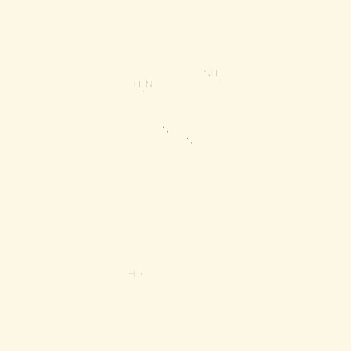 CCCCCCn1cc(N)c(N)n1